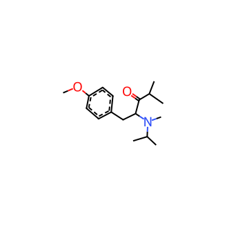 COc1ccc(CC(C(=O)C(C)C)N(C)C(C)C)cc1